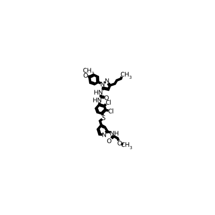 CCCCc1cc(NC(=O)Nc2ccc(SCc3ccnc(NC(=O)COC)c3)c(Cl)c2Cl)n(-c2ccc(OC)cc2)n1